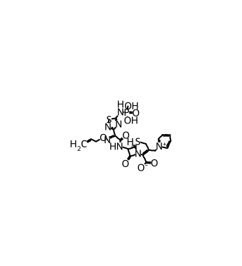 C=CCON=C(C(=O)NC1C(=O)N2C(C(=O)[O-])=C(C[n+]3ccccc3)CS[C@@H]12)c1nsc(NP(=O)(O)O)n1